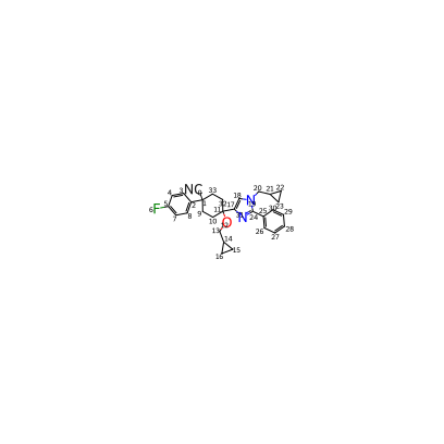 N#CC1(c2ccc(F)cc2)CCC(OCC2CC2)(c2cn(CC3CC3)c(-c3ccccc3)n2)CC1